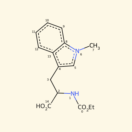 CCOC(=O)NC(Cc1cn(C)c2ccccc12)C(=O)O